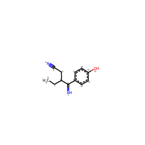 CCC(CC#N)C(=N)c1ccc(O)cc1